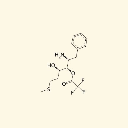 CSCC[C@@H](O)[C@H](OC(=O)C(F)(F)F)[C@@H](N)Cc1ccccc1